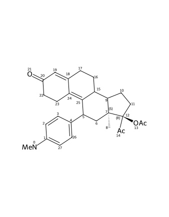 CNc1ccc(C2C[C@@]3(C)C(CC[C@]3(OC(C)=O)C(C)=O)C3CCC4=CC(=O)CCC4=C23)cc1